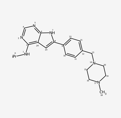 CC(C)Nc1ncnc2[nH]c(-c3ccc(CN4CCN(C)CC4)cc3)cc12